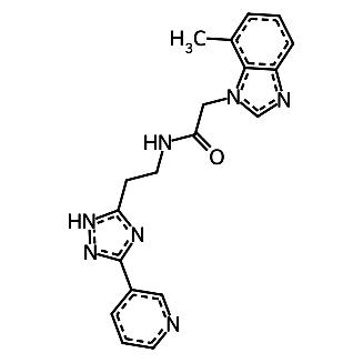 Cc1cccc2ncn(CC(=O)NCCc3nc(-c4cccnc4)n[nH]3)c12